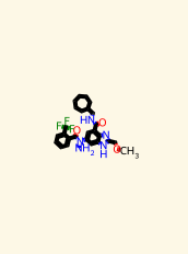 COCc1nc2c(C(=O)NCC3CCCCCC3)cc(N(N)C(=O)c3ccccc3C(F)(F)F)cc2[nH]1